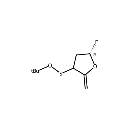 C=C1O[C@@H](F)CC1SOC(C)(C)C